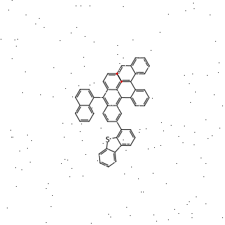 c1ccc(-c2c3ccccc3c(-c3cccc4ccccc34)c3ccc(-c4cccc5c4sc4ccccc45)cc23)c(-c2cccc3ccccc23)c1